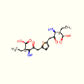 CC[C@H](C(=N)C(=O)Cc1ccc(CC(=O)C(=N)[C@@H](CC)C(=O)O)s1)C(=O)O